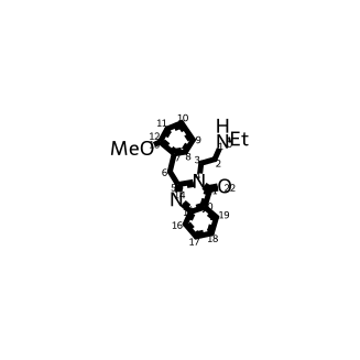 CCNCCn1c(Cc2ccccc2OC)nc2ccccc2c1=O